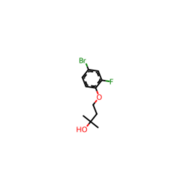 CC(C)(O)CCOc1ccc(Br)cc1F